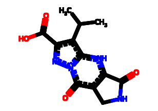 CC(C)c1c(C(=O)O)nn2c(=O)c3c([nH]c12)C(=O)NC3